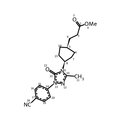 COC(=O)CC[C@H]1CC[C@@H](n2c(C)nn(-c3ccc(C#N)cc3)c2=O)CC1